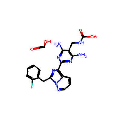 Nc1nc(-c2nc(Cc3ccccc3F)n3ncccc23)nc(N)c1CNC(=O)O.O=CO